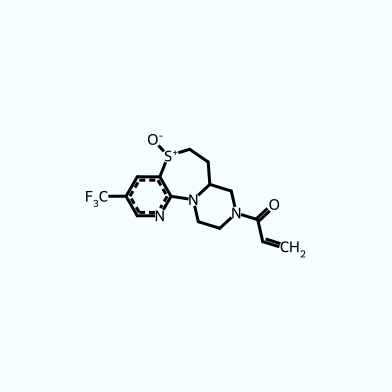 C=CC(=O)N1CCN2c3ncc(C(F)(F)F)cc3[S+]([O-])CCC2C1